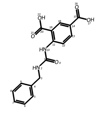 O=C(NCc1ccccc1)Nc1ccc(C(=O)O)cc1C(=O)O